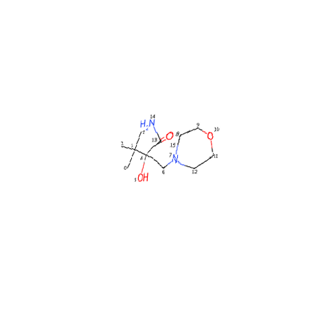 CC(C)(C)C(O)(CN1CCOCC1)C(N)=O